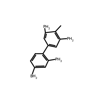 Bc1ccc(-c2cc(P)c(C)c(P)c2)c(P)c1